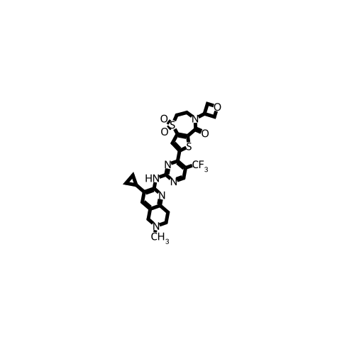 CN1CCc2nc(Nc3ncc(C(F)(F)F)c(-c4cc5c(s4)C(=O)N(C4COC4)CCS5(=O)=O)n3)c(C3CC3)cc2C1